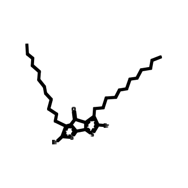 CCCCCCCCCCCCc1c(Br)sc2c1C(=O)c1c-2sc(Br)c1CCCCCCCCCCCC